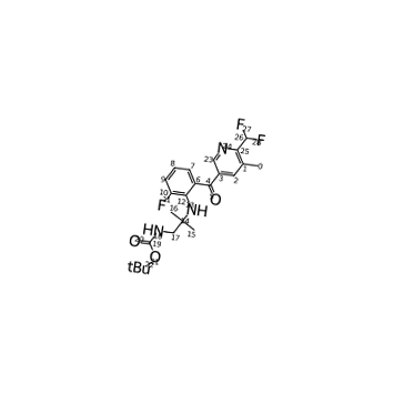 Cc1cc(C(=O)c2cccc(F)c2NC(C)(C)CNC(=O)OC(C)(C)C)cnc1C(F)F